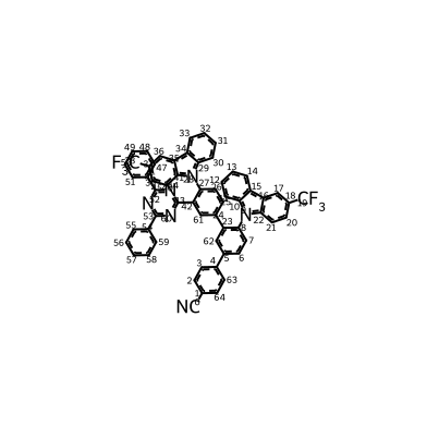 N#Cc1ccc(-c2ccc(-n3c4ccccc4c4cc(C(F)(F)F)ccc43)c(-c3ccc(-n4c5ccccc5c5cc(C(F)(F)F)ccc54)c(-c4nc(-c5ccccc5)nc(-c5ccccc5)n4)c3)c2)cc1